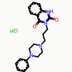 Cl.O=c1[nH]c2ccccc2c(=O)n1CCCN1CCN(c2ccccc2)CC1